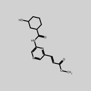 COC(=O)/C=C/c1cncc(NC(=O)C2CCCC(O)C2)n1